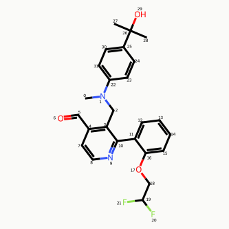 CN(Cc1c(C=O)ccnc1-c1ccccc1OCC(F)F)c1ccc(C(C)(C)O)cc1